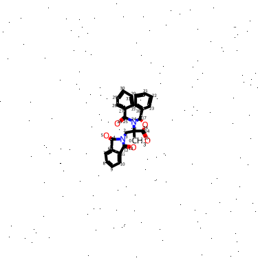 CC1(CN2C(=O)c3ccccc3C2=O)C(=O)OC(c2ccccc2)N1C(=O)c1ccccc1